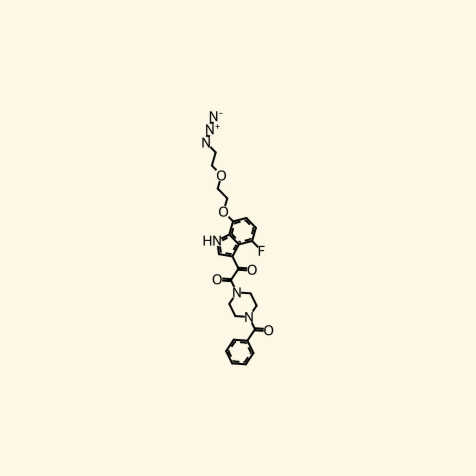 [N-]=[N+]=NCCOCCOc1ccc(F)c2c(C(=O)C(=O)N3CCN(C(=O)c4ccccc4)CC3)c[nH]c12